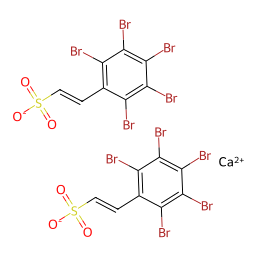 O=S(=O)([O-])C=Cc1c(Br)c(Br)c(Br)c(Br)c1Br.O=S(=O)([O-])C=Cc1c(Br)c(Br)c(Br)c(Br)c1Br.[Ca+2]